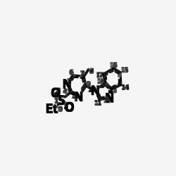 CCS(=O)(=O)c1ncc(C)c(-n2cnc3ccccc32)n1